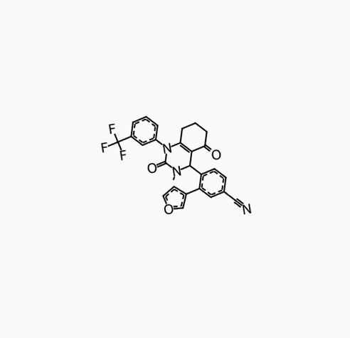 CN1C(=O)N(c2cccc(C(F)(F)F)c2)C2=C(C(=O)CCC2)C1c1ccc(C#N)cc1-c1ccoc1